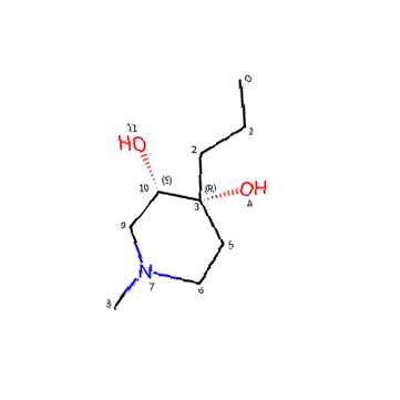 CCC[C@@]1(O)CCN(C)C[C@@H]1O